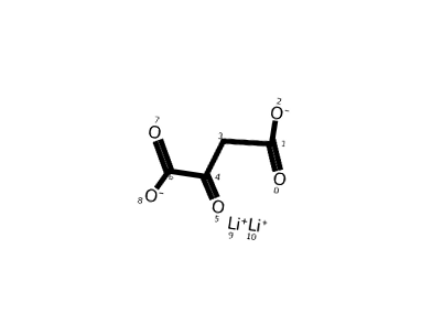 O=C([O-])CC(=O)C(=O)[O-].[Li+].[Li+]